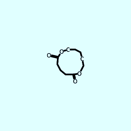 O=C1CCCC(=O)OCCCCCO1